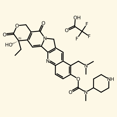 CC[C@@]1(O)C(=O)OCc2c1cc1n(c2=O)Cc2cc3c(CN(C)C)c(OC(=O)N(C)C4CCNCC4)ccc3nc2-1.O=C(O)C(F)(F)F